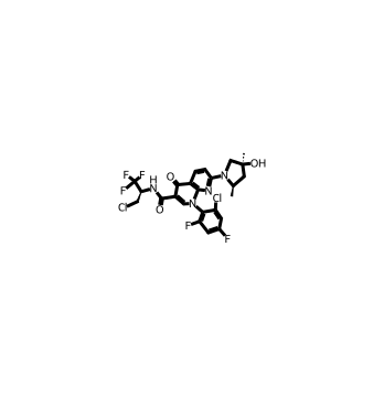 C[C@@H]1C[C@](C)(O)CN1c1ccc2c(=O)c(C(=O)N[C@@H](CCl)C(F)(F)F)cn(-c3c(F)cc(F)cc3Cl)c2n1